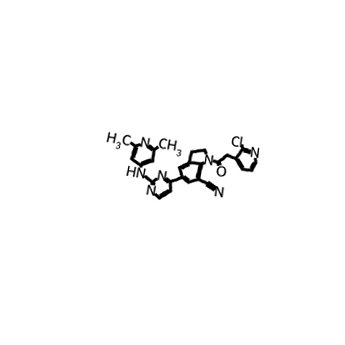 Cc1cc(Nc2nccc(-c3cc(C#N)c4c(c3)CCN4C(=O)Cc3cccnc3Cl)n2)cc(C)n1